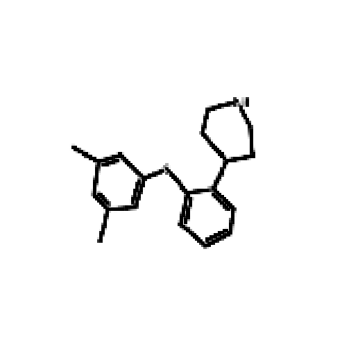 Cc1cc(C)cc(Sc2ccccc2C2CCNCC2)c1